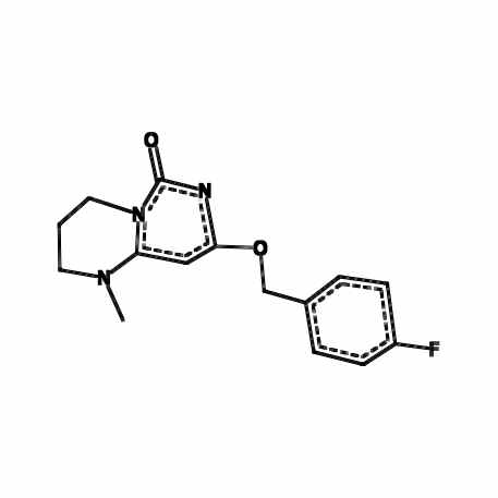 CN1CCCn2c1cc(OCc1ccc(F)cc1)nc2=O